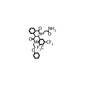 NC(=O)CCN1C(=O)c2ccccc2C(C(=O)NCCOc2ccccc2)C1c1cc(C(F)(F)F)cc(C(F)(F)F)c1